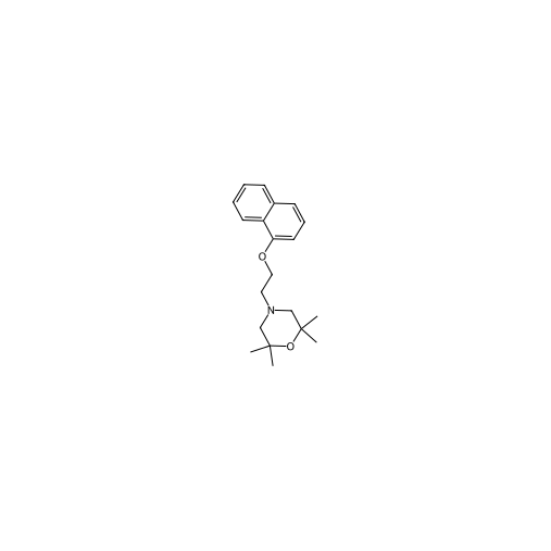 CC1(C)CN(CCOc2cccc3ccccc23)CC(C)(C)O1